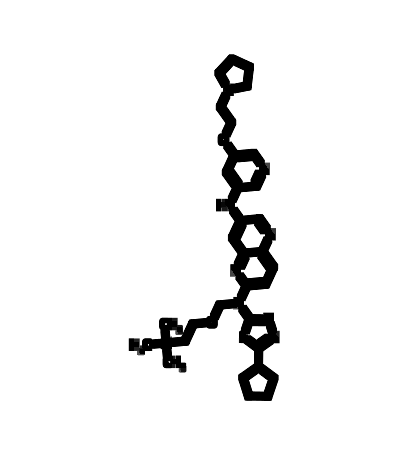 C[Si](C)(C)CCOCN(c1ccc2ncc(Nc3cncc(OCCN4CCCC4)c3)cc2n1)c1nnc(C2CCCC2)s1